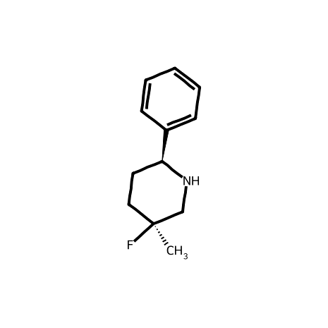 C[C@]1(F)CC[C@@H](c2ccccc2)NC1